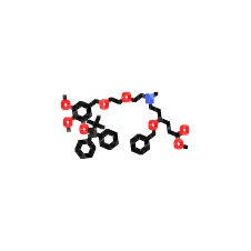 COC(=O)CCC(CCN(C)CCOCCOCc1cc(OC)c(OC)c(O[Si](c2ccccc2)(c2ccccc2)C(C)(C)C)c1)OCc1ccccc1